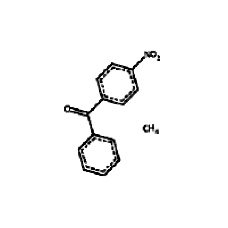 C.O=C(c1ccccc1)c1ccc([N+](=O)[O-])cc1